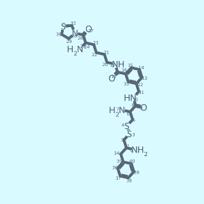 NC(CSSCC(N)C(=O)NCc1cccc(C(=O)NCCCCC(N)C(=O)N2CCSC2)c1)Cc1ccccc1